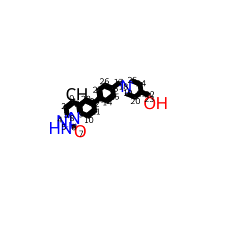 Cc1cc2n[nH]c(=O)n2c2ccc(-c3ccc(CN4CCC(CO)CC4)cc3)cc12